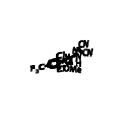 COc1cc(-c2nc(C#N)c(C#N)[nH]2)nn1-c1c(Cl)cc(C(F)(F)F)cc1Cl